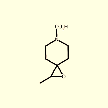 CC1OC12CCN(C(=O)O)CC2